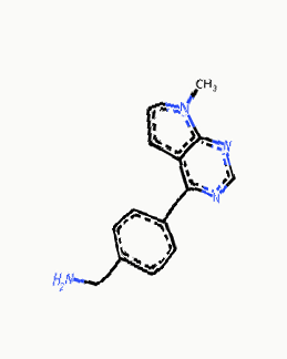 Cn1ccc2c(-c3ccc(CN)cc3)ncnc21